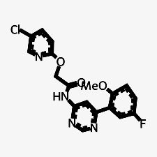 COc1ccc(F)cc1-c1cc(NC(=O)COc2ccc(Cl)cn2)ncn1